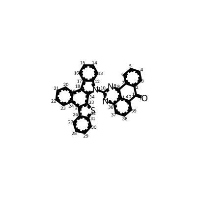 O=C1c2ccccc2-c2nc(-n3c4ccccc4c4c5ccccc5c5c6ccccc6sc5c43)nc3cccc1c23